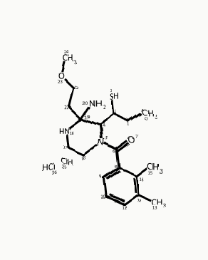 CCC(S)C1N(C(=O)c2cccc(C)c2C)CCNC1(N)CCOC.Cl.Cl